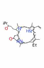 C=Cc1c(C)c2cc3nc(c4c5[nH]c(cc6cc(cc1[nH]2)C(C)=C6CC)c(C)c5C(=O)C4)C(CCC(=O)C(C)C)C3C